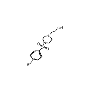 CC(C)c1ccc(S(=O)(=O)N2CCN(CCO)CC2)cc1